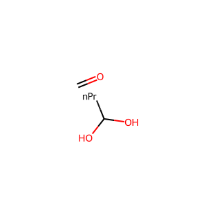 C=O.CCCC(O)O